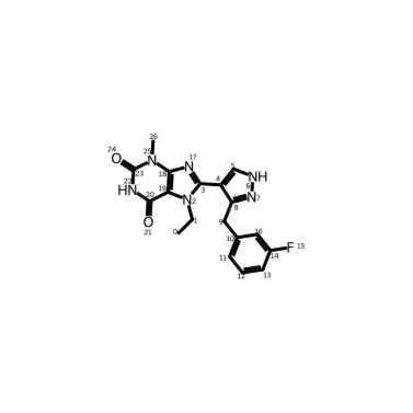 CCn1c(-c2c[nH]nc2Cc2cccc(F)c2)nc2c1c(=O)[nH]c(=O)n2C